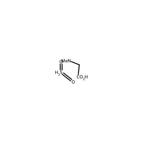 CNCC(=O)O.O=[SH2]=O